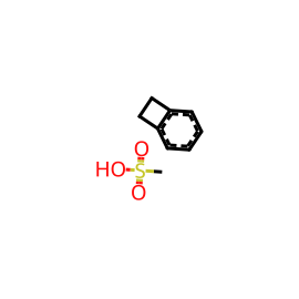 CS(=O)(=O)O.c1ccc2c(c1)CC2